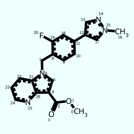 COC(=O)c1cn(Cc2ccc(-c3cnn(C)c3)cc2F)c2cccnc12